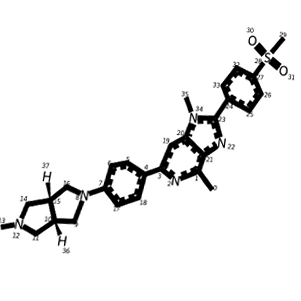 Cc1nc(-c2ccc(N3C[C@@H]4CN(C(C)C)C[C@@H]4C3)cc2)cc2c1nc(-c1ccc(S(C)(=O)=O)cc1)n2C